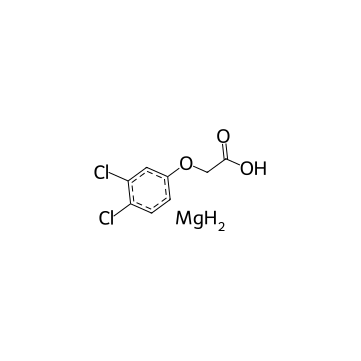 O=C(O)COc1ccc(Cl)c(Cl)c1.[MgH2]